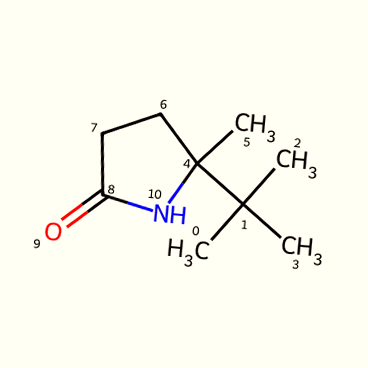 CC(C)(C)C1(C)CCC(=O)N1